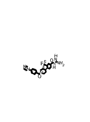 N=C(N)NC(=O)c1ccc(C2=CCN(C(=O)c3ccc(-n4ccnc4)cc3)CC2)c(C(F)(F)F)c1